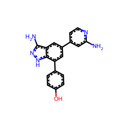 Nc1cc(-c2cc(-c3ccc(O)cc3)c3[nH]nc(N)c3c2)ccn1